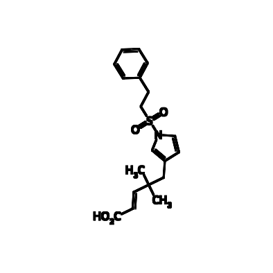 CC(C)(/C=C/C(=O)O)Cc1ccn(S(=O)(=O)CCc2ccccc2)c1